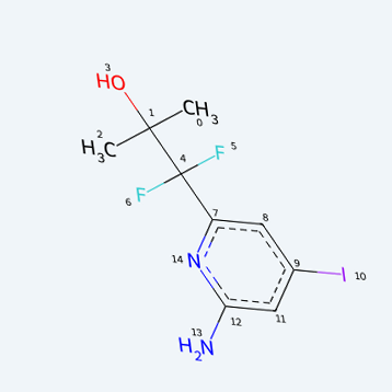 CC(C)(O)C(F)(F)c1cc(I)cc(N)n1